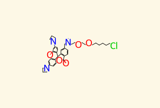 CN(CCOCCOCCCCCCCl)Cc1ccc2c(c1)C1(OC2=O)c2ccc(N3CCC3)cc2Oc2cc(N3CCC3)ccc21